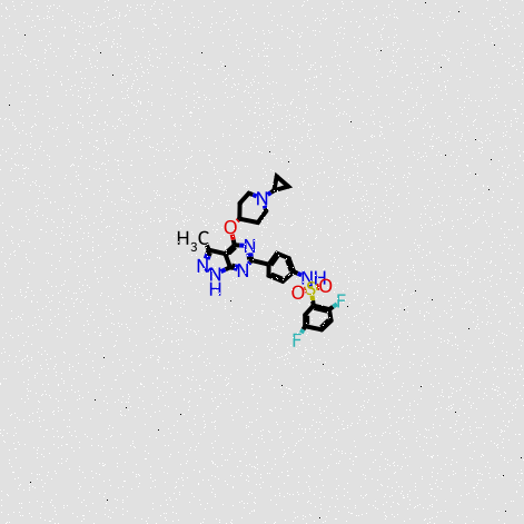 Cc1n[nH]c2nc(-c3ccc(NS(=O)(=O)c4cc(F)ccc4F)cc3)nc(OC3CCN(C4CC4)CC3)c12